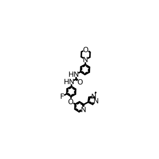 Cn1cc(-c2cc(Oc3ccc(NC(=O)Nc4cccc(N5CCOCC5)c4)cc3F)ccn2)cn1